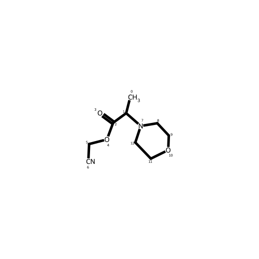 CC(C(=O)OCC#N)N1CCOCC1